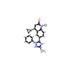 CCn1c(=O)cc(C2CC2)c2cc(-c3nc(C)nn3-c3ccccc3)ccc21